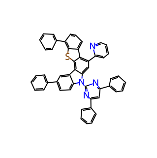 c1ccc(-c2ccc3c(c2)c2c4sc5c(-c6ccccc6)cccc5c4c(-c4ccccn4)cc2n3-c2nc(-c3ccccc3)cc(-c3ccccc3)n2)cc1